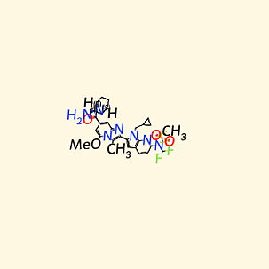 COc1cc(C(=O)N2[C@H]3CC[C@@H]2[C@H](N)C3)cc2nc(-c3cc4ccc(N(C(F)F)S(C)(=O)=O)nc4n3CC3CC3)c(C)n12